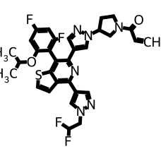 C=CC(=O)N1CCC(n2cc(-c3nc(-c4cnn(CC(F)F)c4)c4ccsc4c3-c3c(F)cc(F)cc3OC(C)C)cn2)C1